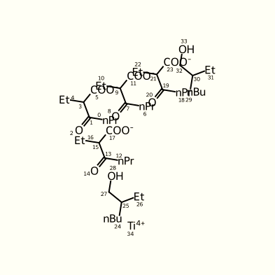 CCCC(=O)C(CC)C(=O)[O-].CCCC(=O)C(CC)C(=O)[O-].CCCC(=O)C(CC)C(=O)[O-].CCCC(=O)C(CC)C(=O)[O-].CCCCC(CC)CO.CCCCC(CC)CO.[Ti+4]